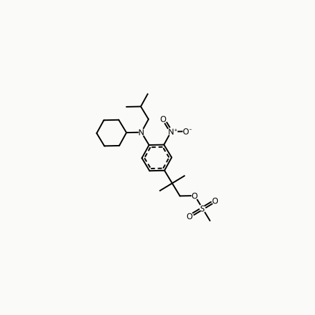 CC(C)CN(c1ccc(C(C)(C)COS(C)(=O)=O)cc1[N+](=O)[O-])C1CCCCC1